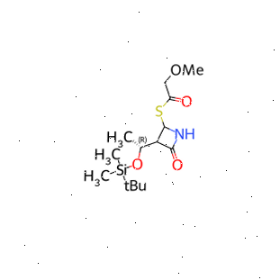 COCC(=O)SC1NC(=O)C1[C@@H](C)O[Si](C)(C)C(C)(C)C